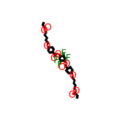 C=CC(=O)OCCCCCOc1ccc(C(=O)Oc2c(F)c(F)c(OC(=O)c3ccc(OCCCCCOC(=O)C=C)cc3)c(F)c2F)cc1